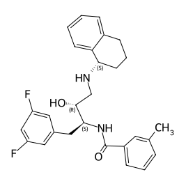 Cc1cccc(C(=O)N[C@@H](Cc2cc(F)cc(F)c2)[C@H](O)CN[C@H]2CCCc3ccccc32)c1